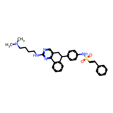 CN(C)CCCCNc1ncc2c(n1)-c1ccccc1C(c1ccc(NS(=O)(=O)/C=C/c3ccccc3)cc1)C2